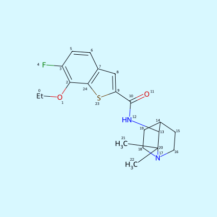 CCOc1c(F)ccc2cc(C(=O)NC3C4CCN(CC4)C3(C)C)sc12